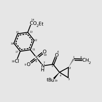 C=C[C@@H]1C[C@@]1(C(=O)NS(=O)(=O)c1cc(C(=O)OCC)ccc1Cl)C(C)(C)C